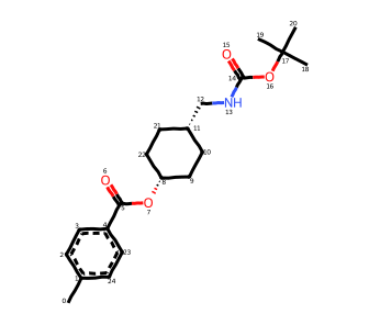 Cc1ccc(C(=O)O[C@H]2CC[C@@H](CNC(=O)OC(C)(C)C)CC2)cc1